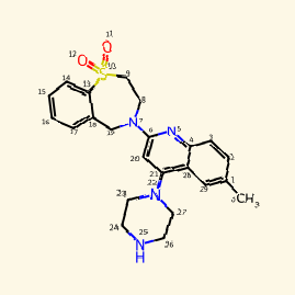 Cc1ccc2nc(N3CCS(=O)(=O)c4ccccc4C3)cc(N3CCNCC3)c2c1